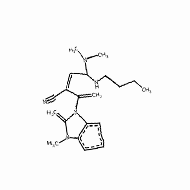 C=C(/C(C#N)=C\C(NCCCC)N(C)C)N1C(=C)N(C)c2ccccc21